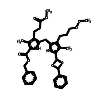 COOCCCc1c(Cc2[nH]c(C(=O)OCc3ccccc3)c(C)c2CCC(=O)OC)[nH]c(C2OC(c3ccccc3)O2)c1C